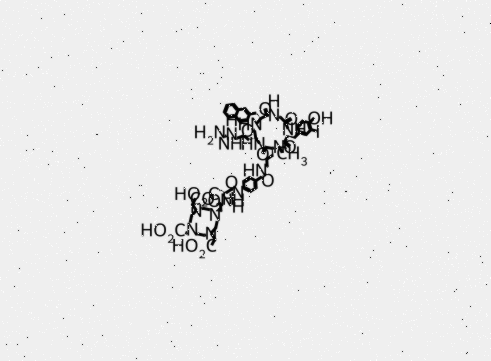 CN1C(=O)[C@H](Cc2ccc(O)c(I)c2)NC(=O)CNC(=O)[C@@H](Cc2ccc3ccccc3c2)NC(=O)[C@@H](CCCNC(=N)N)NC(=O)[C@@H]1CCCNC(=O)c1ccc(NC(=O)[C@@H](CC(=O)O)NC(=O)CN2CCN(CC(=O)O)CCN(CC(=O)O)CCN(CC(=O)O)CC2)cc1